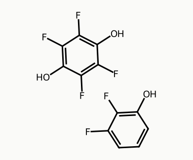 Oc1c(F)c(F)c(O)c(F)c1F.Oc1cccc(F)c1F